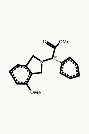 COC(=O)[C@H](c1ccccc1)N1Cc2cccc(OC)c2C1